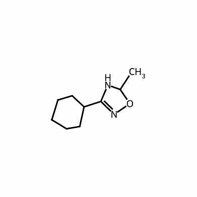 CC1NC(C2CCCCC2)=NO1